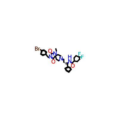 CCN1C(=O)N(Cc2ccc(Br)cc2)C(=O)C12CCN(CC[C@H](NC(=O)C1CCC(F)(F)CC1)c1ccccc1)CC2